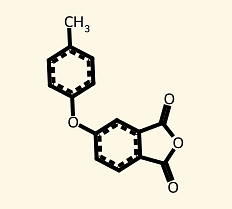 Cc1ccc(Oc2ccc3c(c2)C(=O)OC3=O)cc1